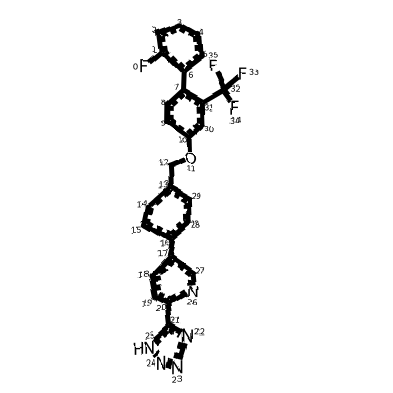 Fc1ccccc1-c1ccc(OCc2ccc(-c3ccc(-c4nnn[nH]4)nc3)cc2)cc1C(F)(F)F